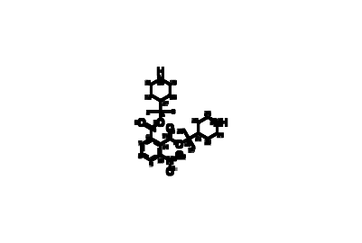 CC(C)(OC(=O)c1cccc([N+](=O)[O-])c1C(=O)OC(C)(C)C1CCNCC1)C1CCNCC1